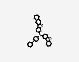 c1ccc(-c2ccc(N(c3ccc4oc5ccccc5c4c3)c3ccc4c(n3)sc3cc5ccccc5cc34)cc2)cc1